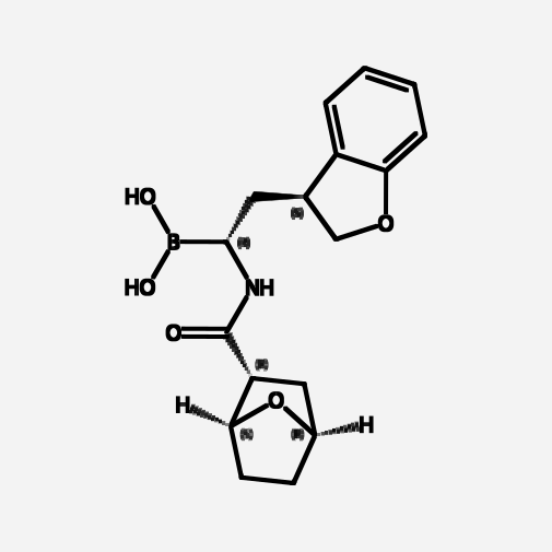 O=C(N[C@@H](C[C@@H]1COc2ccccc21)B(O)O)[C@@H]1C[C@H]2CC[C@@H]1O2